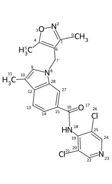 Cc1noc(C)c1Cn1cc(C)c2ccc(C(=O)Nc3c(Cl)cncc3Cl)cc21